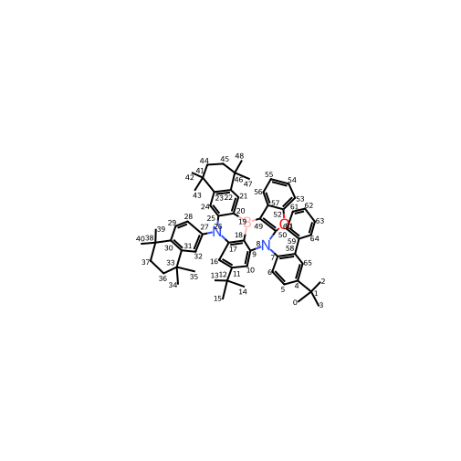 CC(C)(C)c1ccc(N2c3cc(C(C)(C)C)cc4c3B(c3cc5c(cc3N4c3ccc4c(c3)C(C)(C)CCC4(C)C)C(C)(C)CCC5(C)C)c3c2oc2ccccc32)c(-c2ccccc2)c1